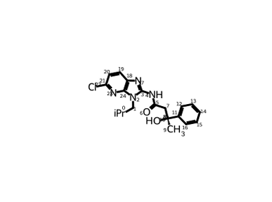 CC(C)Cn1c(NC(=O)C[C@@](C)(O)c2ccccc2)nc2ccc(Cl)nc21